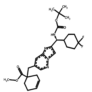 COC(=O)C1(Cc2cnn3cc([C@@H](NC(=O)OC(C)(C)C)C4CCC(F)(F)CC4)nc3c2)CC=CCC1